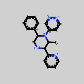 CCC1C(c2ccccn2)NCC(c2ccccc2)N1c1ccnnc1